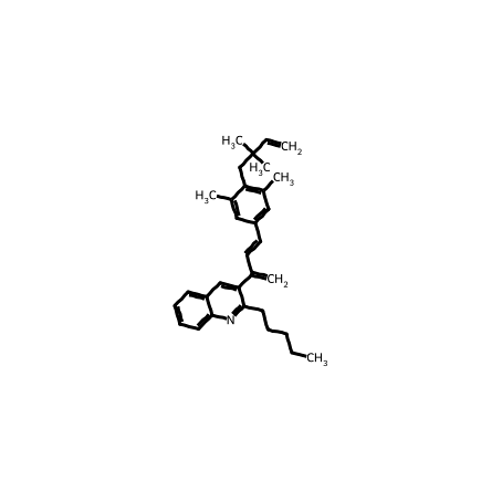 C=CC(C)(C)Cc1c(C)cc(/C=C/C(=C)c2cc3ccccc3nc2CCCCC)cc1C